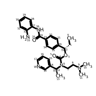 CC[C@H](OC(=O)N(CCN(C)C)[C@@H](C)c1cccnc1)c1ccc(C(=O)Nc2ccccc2N)cc1